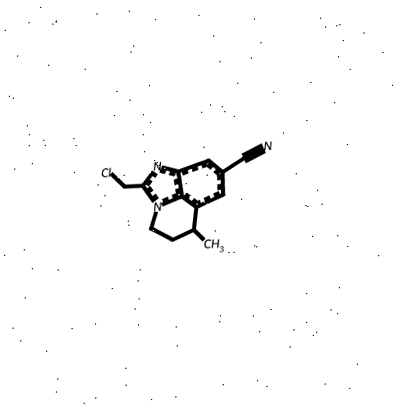 CC1CCn2c(CCl)nc3cc(C#N)cc1c32